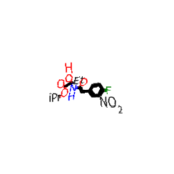 CCC(O)(NC(=O)Cc1ccc(F)c([N+](=O)[O-])c1)C(=O)OC(C)C